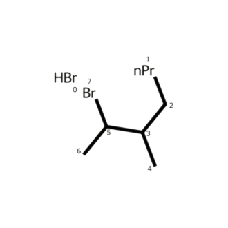 Br.CCCCC(C)C(C)Br